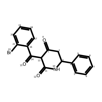 O=C1CC(c2ccccc2)NC(=O)C1C(=O)c1ccccc1Br